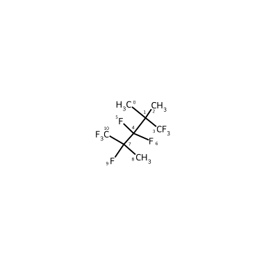 CC(C)(C(F)(F)F)C(F)(F)C(C)(F)C(F)(F)F